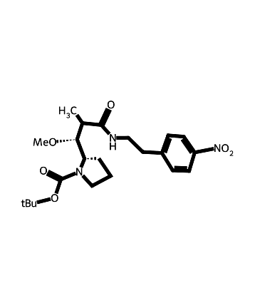 CO[C@H](C(C)C(=O)NCCc1ccc([N+](=O)[O-])cc1)[C@@H]1CCCN1C(=O)OC(C)(C)C